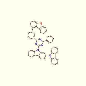 c1ccc(-c2nc(-c3cccc(-c4cccc5oc6ccccc6c45)c3)nc(-n3c4ccccc4c4ccc(-n5c6ccccc6c6ccccc65)cc43)n2)cc1